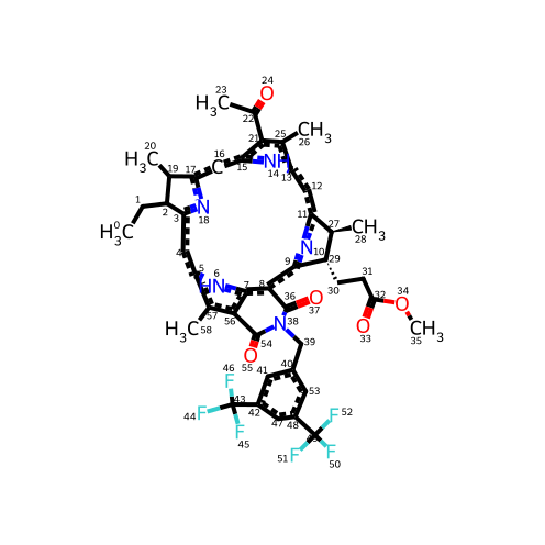 CCC1c2cc3[nH]c4c(c5nc(cc6[nH]c(cc(n2)C1C)c(C(C)=O)c6C)[C@@H](C)[C@@H]5CCC(=O)OC)C(=O)N(Cc1cc(C(F)(F)F)cc(C(F)(F)F)c1)C(=O)c4c3C